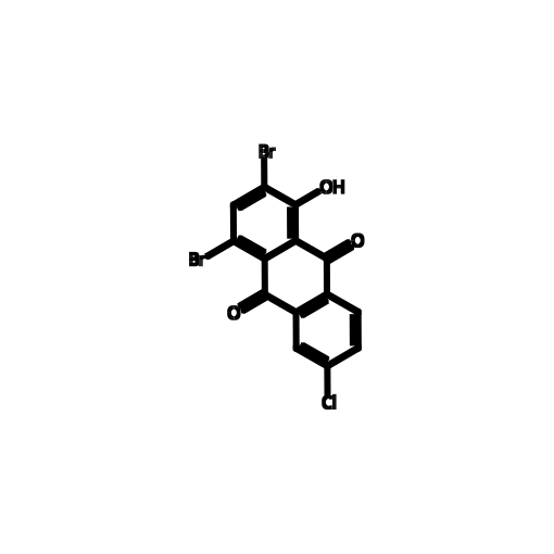 O=C1c2cc(Cl)ccc2C(=O)c2c(O)c(Br)cc(Br)c21